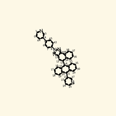 c1cncc(-c2ccc(-n3nc4cc(-c5c6ccccc6c(-c6cccnc6)c6ccccc56)c5ccccc5c4n3)cc2)c1